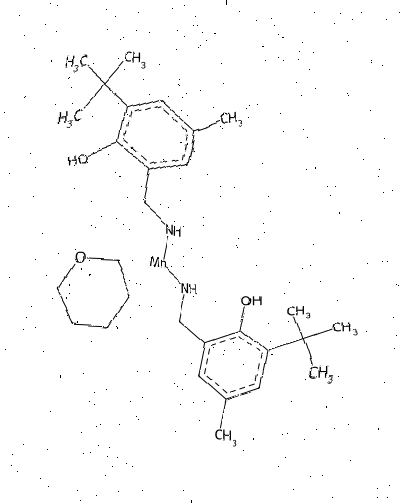 C1CCOCC1.Cc1cc(C[NH][Mn][NH]Cc2cc(C)cc(C(C)(C)C)c2O)c(O)c(C(C)(C)C)c1